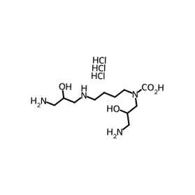 Cl.Cl.Cl.NCC(O)CNCCCCN(CC(O)CN)C(=O)O